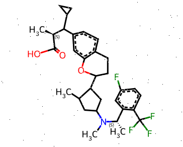 CC1CC(N(C)[C@@H](C)c2cc(F)ccc2C(F)(F)F)CC1C1CCc2ccc(C(C3CC3)[C@H](C)C(=O)O)cc2O1